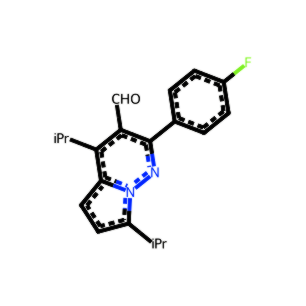 CC(C)c1c(C=O)c(-c2ccc(F)cc2)nn2c(C(C)C)ccc12